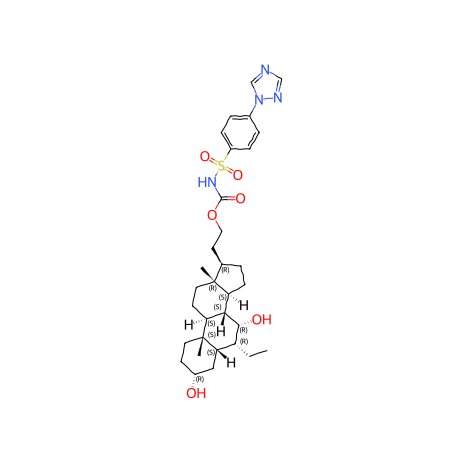 CC[C@H]1[C@@H](O)[C@@H]2[C@H](CC[C@]3(C)[C@@H](CCOC(=O)NS(=O)(=O)c4ccc(-n5cncn5)cc4)CC[C@@H]23)[C@@]2(C)CC[C@@H](O)C[C@@H]12